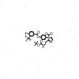 CN(CCC1=NC=C[N+]1(C(=O)[O-])c1ccc(OC(=O)c2ccc(F)c(C(F)(F)F)c2)cc1)C(=O)OC(C)(C)C